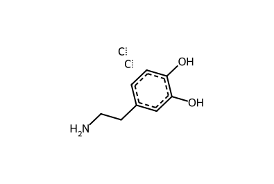 NCCc1ccc(O)c(O)c1.[C].[C]